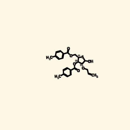 C=CCO[C@H]1C(O)S[C@H](COC(=O)c2ccc(C)cc2)[C@@H]1OC(=O)c1ccc(C)cc1